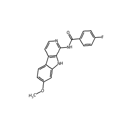 COc1ccc2c(c1)[nH]c1c(NC(=O)c3ccc(F)cc3)nccc12